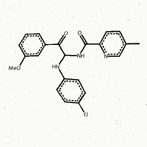 COc1cccc(C(=O)C(NC(=O)c2ccc(C)cn2)Nc2ccc(Cl)cc2)c1